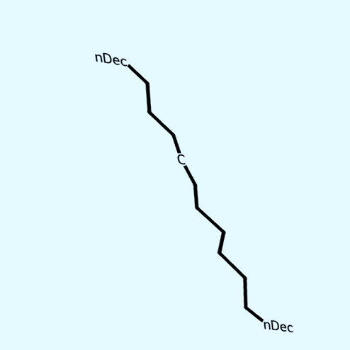 CCC[CH]CCCCCCCCCCCCCCCCCCCCCCCCCC